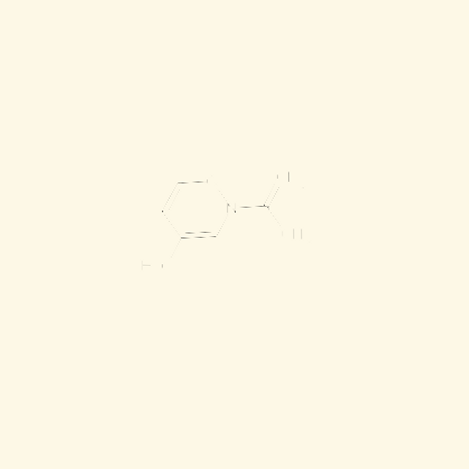 C=C(C)N1C=C(C)C=CO1